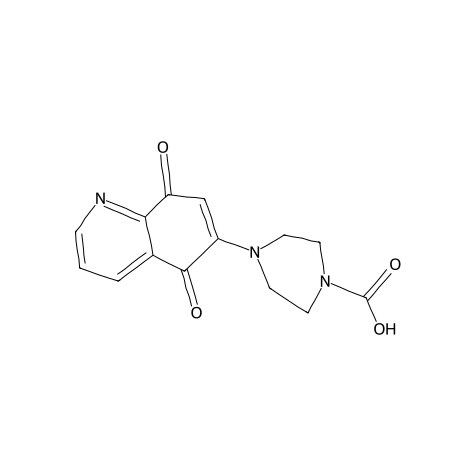 O=C1C(N2CCN(C(=O)O)CC2)=CC(=O)c2ncccc21